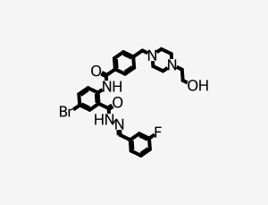 O=C(Nc1ccc(Br)cc1C(=O)NN=Cc1cccc(F)c1)c1ccc(CN2CCN(CCO)CC2)cc1